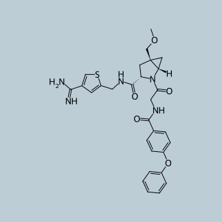 COC[C@@]12C[C@@H]1N(C(=O)CNC(=O)c1ccc(Oc3ccccc3)cc1)[C@H](C(=O)NCc1cc(C(=N)N)cs1)C2